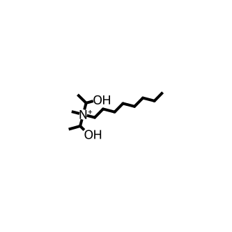 CCCCCCCC[N+](C)(C(C)O)C(C)O